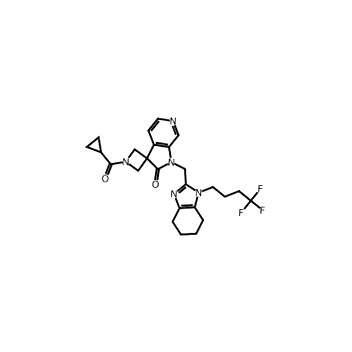 O=C(C1CC1)N1CC2(C1)C(=O)N(Cc1nc3c(n1CCCC(F)(F)F)CCCC3)c1cnccc12